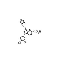 O=C(O)c1ccc2c(-c3ccc(Cl)c(F)c3)cn(CCn3cncn3)c2n1